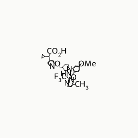 COc1ccc(C(=O)NC(c2nccc(C)n2)C(F)(F)F)c(N2CCC(COc3cc(C(CC(=O)O)C4CC4)ccn3)CC2)c1